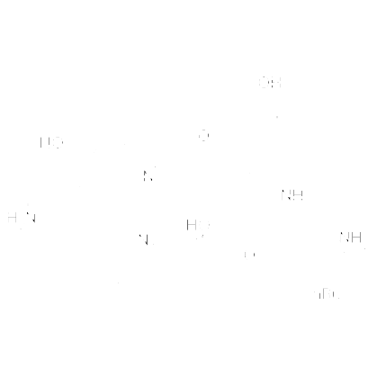 CCCCC(N)C(=O)NC1[C@@H](CO)O[C@@H](n2cc(O)c3c(N)ccnc32)[C@H]1O